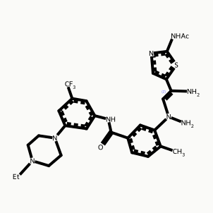 CCN1CCN(c2cc(NC(=O)c3ccc(C)c(N(N)/C=C(\N)c4cnc(NC(C)=O)s4)c3)cc(C(F)(F)F)c2)CC1